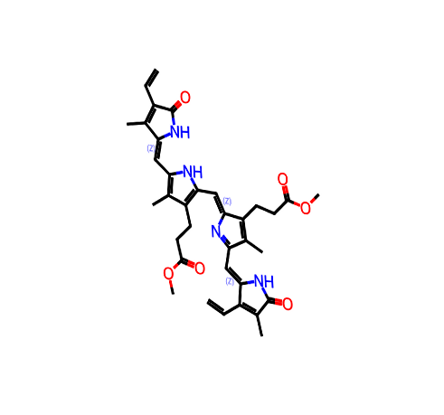 C=CC1=C(C)/C(=C/c2[nH]c(/C=C3N=C(/C=C4\NC(=O)C(C)=C4C=C)C(C)=C\3CCC(=O)OC)c(CCC(=O)OC)c2C)NC1=O